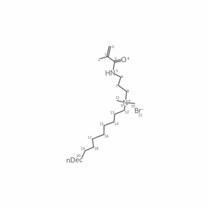 C=C(C)C(=O)NCCC[N+](C)(C)CCCCCCCCCCCCCCCCCC.[Br-]